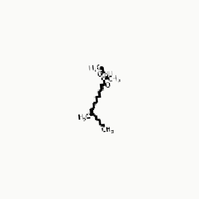 C=CC(=O)NC(C)OC(=O)CCCCCCCCCC(C)CCCCCC